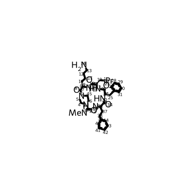 CNC(=O)N1CCN(C(=O)[C@@H](CCCCN)NC(=O)[C@@H](CC(C)C)NC(=O)[C@@H](Cc2ccccc2)NC(=O)[C@H](N)CCc2ccccc2)CC1